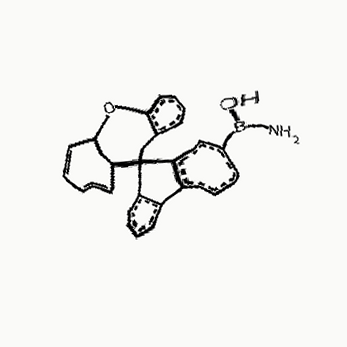 NB(O)c1ccc2c(c1)C1(c3ccccc3OC3C=CC=CC31)c1ccccc1-2